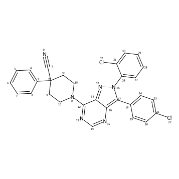 N#CC1(c2ccccc2)CCN(c2ncnc3c(-c4ccc(Cl)cc4)n(-c4ccccc4Cl)nc23)CC1